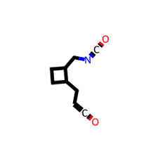 O=C=CCC1CCC1CN=C=O